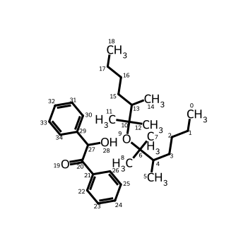 CCCCC(C)C(C)(C)OC(C)(C)C(C)CCCC.O=C(c1ccccc1)C(O)c1ccccc1